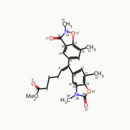 COC(=O)CCCC=C(c1cc(C)c2on(C)c(=O)c2c1)c1cc(C)c2oc(=O)n(C)c2c1